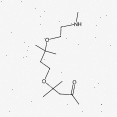 CNCCOC(C)(C)CCOC(C)(C)CC(C)=O